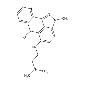 CN(C)CCNc1ccc2c3c(nn2C)-c2ncccc2C(=O)c13